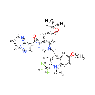 COc1ccc(N(C)C(C2CCN(c3cc4c(cc3NC(=O)c3cnn5cccnc35)CC(C)(C)O4)CC2)C(F)(F)F)cc1